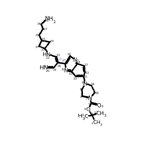 CC(C)(C)OC(=O)N1CCN(c2ccc3ncc(/C(C=N)=C/NC4CC(CCCN)C4)nc3c2)CC1